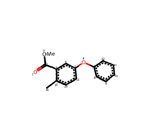 COC(=O)c1cc(Oc2ccccc2)ccc1C